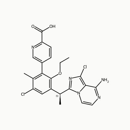 CCOc1c([C@H](C)c2nc(Cl)c3c(N)nccn23)cc(Cl)c(C)c1-c1ccc(C(=O)O)nc1